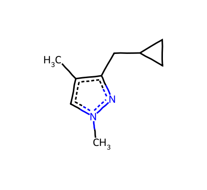 Cc1cn(C)nc1CC1CC1